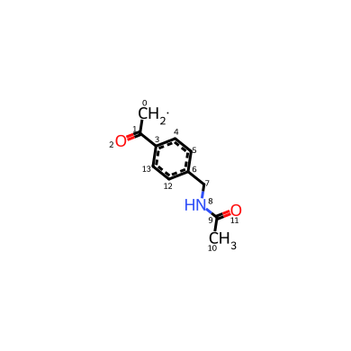 [CH2]C(=O)c1ccc(CNC(C)=O)cc1